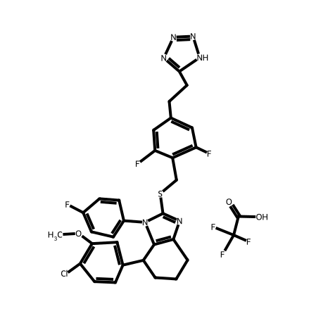 COc1cc(C2CCCc3nc(SCc4c(F)cc(CCc5nnn[nH]5)cc4F)n(-c4ccc(F)cc4)c32)ccc1Cl.O=C(O)C(F)(F)F